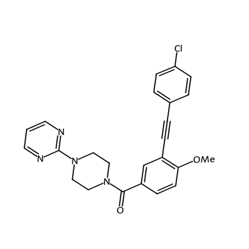 COc1ccc(C(=O)N2CCN(c3ncccn3)CC2)cc1C#Cc1ccc(Cl)cc1